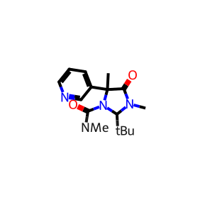 CNC(=O)N1C(C(C)(C)C)N(C)C(=O)C1(C)c1cccnc1